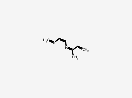 C=C/C(C)=N\C=C/N=C